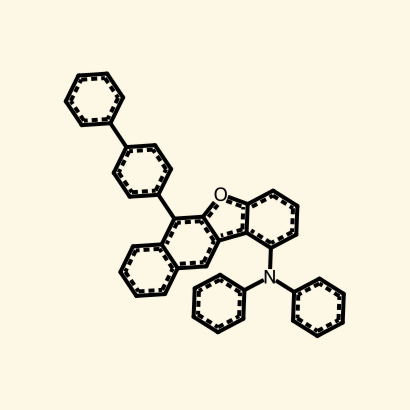 c1ccc(-c2ccc(-c3c4ccccc4cc4c3oc3cccc(N(c5ccccc5)c5ccccc5)c34)cc2)cc1